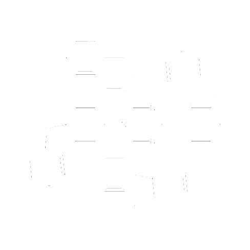 C1=CC2SC3C=CC=C(c4nc(-c5ccc6ccccc6c5)nc(-c5c(-c6cccc7sc8ccccc8c67)ccc6oc7ccccc7c56)n4)C3C2C=C1